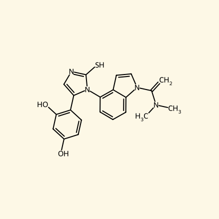 C=C(N(C)C)n1ccc2c(-n3c(-c4ccc(O)cc4O)cnc3S)cccc21